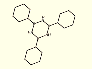 C1CCC(B2NB(C3CCCCC3)NB(C3CCCCC3)N2)CC1